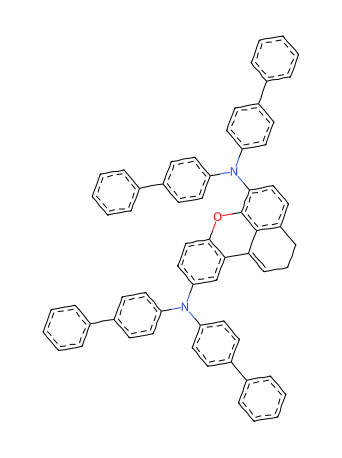 C1=C2c3cc(N(c4ccc(-c5ccccc5)cc4)c4ccc(-c5ccccc5)cc4)ccc3Oc3c(N(c4ccc(-c5ccccc5)cc4)c4ccc(-c5ccccc5)cc4)ccc(c32)CC1